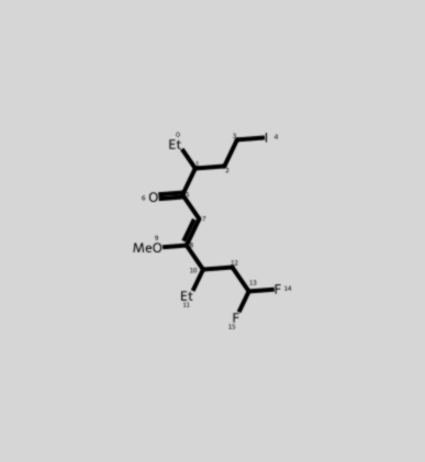 CCC(CCI)C(=O)/C=C(\OC)C(CC)CC(F)F